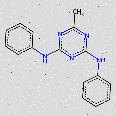 Cc1nc(Nc2ccccc2)nc(Nc2ccccc2)n1